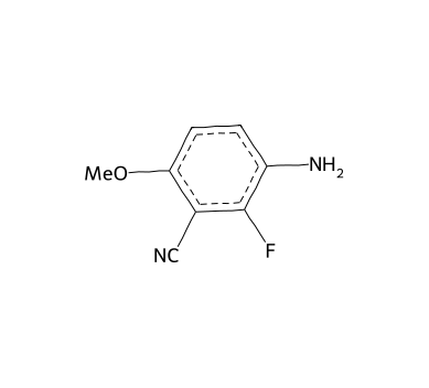 COc1ccc(N)c(F)c1C#N